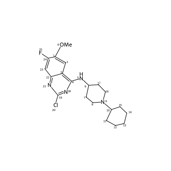 COc1cc2c(NC3CCN(C4CCCCC4)CC3)nc(Cl)nc2cc1F